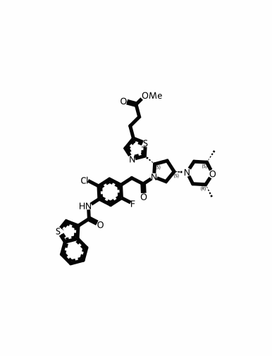 COC(=O)CCc1cnc([C@@H]2C[C@H](N3C[C@@H](C)O[C@@H](C)C3)CN2C(=O)Cc2cc(Cl)c(NC(=O)c3csc4ccccc34)cc2F)s1